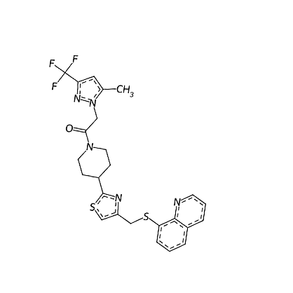 Cc1cc(C(F)(F)F)nn1CC(=O)N1CCC(c2nc(CSc3cccc4cccnc34)cs2)CC1